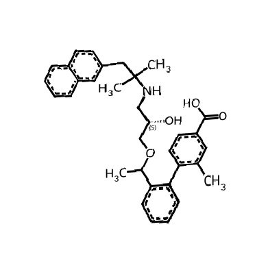 Cc1cc(C(=O)O)ccc1-c1ccccc1C(C)OC[C@@H](O)CNC(C)(C)Cc1ccc2ccccc2c1